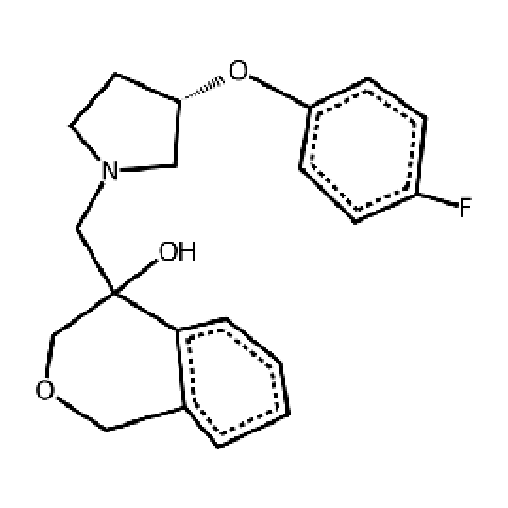 OC1(CN2CC[C@H](Oc3ccc(F)cc3)C2)COCc2ccccc21